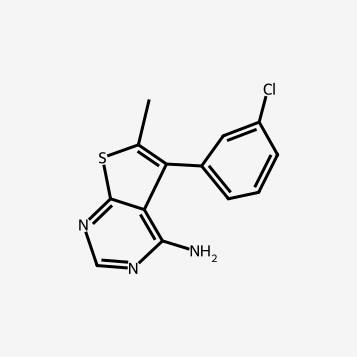 Cc1sc2ncnc(N)c2c1-c1cccc(Cl)c1